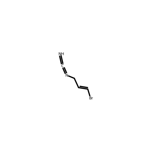 N=C=NCC=CBr